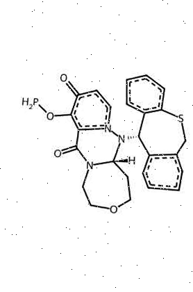 O=C1c2c(OP)c(=O)ccn2N([C@H]2c3ccccc3CSc3ccccc32)[C@@H]2CCOCCN12